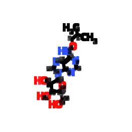 CC(C)CONc1ncnc2c1ncn2[C@@H]1O[C@H](CO)[C@@H](O)[C@H]1O